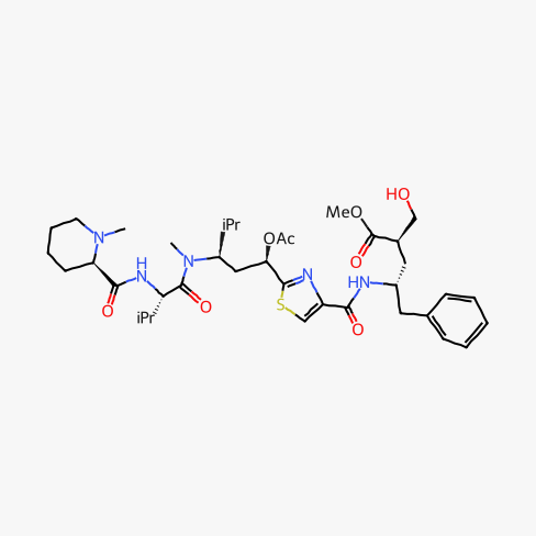 COC(=O)[C@@H](CO)C[C@H](Cc1ccccc1)NC(=O)c1csc([C@@H](C[C@H](C(C)C)N(C)C(=O)[C@@H](NC(=O)[C@H]2CCCCN2C)C(C)C)OC(C)=O)n1